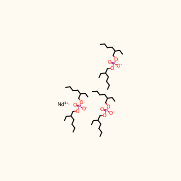 CCCCC(CC)COP(=O)([O-])OCC(CC)CCCC.CCCCC(CC)COP(=O)([O-])OCC(CC)CCCC.CCCCC(CC)COP(=O)([O-])OCC(CC)CCCC.[Nd+3]